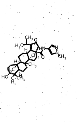 CC(C)C1=C2[C@H]3CC[C@@H]4[C@@]5(C)CC[C@H](O)C(C)(C)[C@@H]5CC[C@@]4(C)[C@]3(C)CC[C@@]2(C(=O)Nc2cnn(C)c2)CC1=O